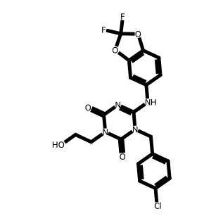 O=c1nc(Nc2ccc3c(c2)OC(F)(F)O3)n(Cc2ccc(Cl)cc2)c(=O)n1CCO